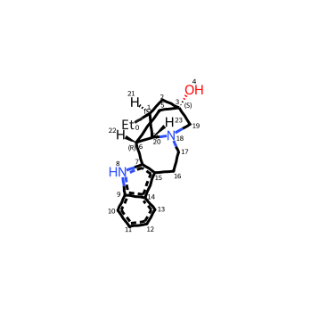 CC[C@H]1C[C@]2(O)C[C@H]3c4[nH]c5ccccc5c4CCN(C2)[C@@H]13